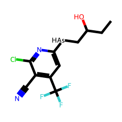 CCC(O)C[AsH]c1cc(C(F)(F)F)c(C#N)c(Cl)n1